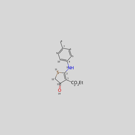 CCOC(=O)C1=C(Nc2ccc(C)cc2)SCC1=O